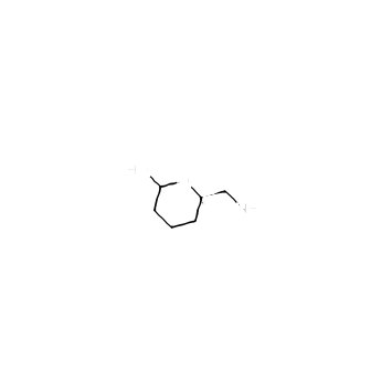 NC[C@H]1CCCC(O)O1